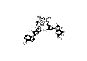 Nc1nc2c([nH]c(=O)n2C2C[C@@H](O)C(COP(=O)(O)OP(=O)(O)OP(=O)(O)OP(=O)(O)OC[C@H]3O[C@@H](n4cnc5c(N)ncnc54)C(O)C3O)O2)c(=O)[nH]1